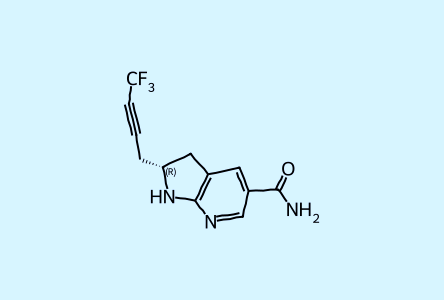 NC(=O)c1cnc2c(c1)C[C@@H](CC#CC(F)(F)F)N2